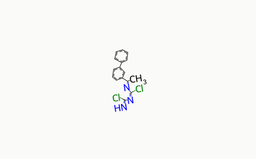 C/C(=N\C(Cl)=N/C(=N)Cl)c1cccc(-c2ccccc2)c1